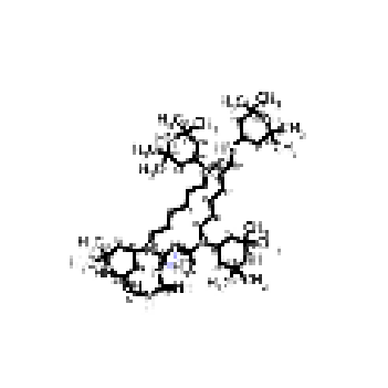 CCN(CCCCCCN1C(/N=C(\C)N(CCCCCCNC2CC(C)(C)NC(C)(C)C2)C2CC(C)(C)NC(C)(C)C2)=N/C(=N)NCC2(C)CC1CC(C)(C)N2)C1CC(C)(C)NC(C)(C)C1